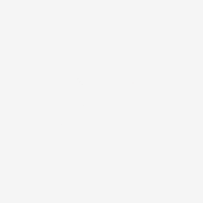 C=CCC(CC=C)CCCCO